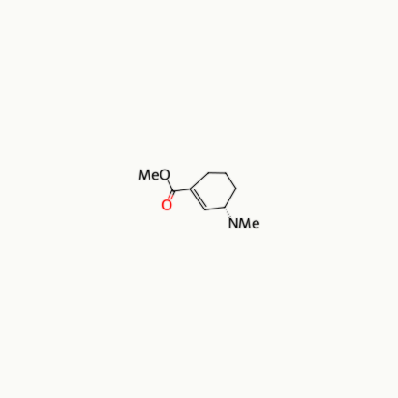 CN[C@@H]1C=C(C(=O)OC)CCC1